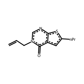 C=CCn1cnc2sc(CCC)cc2c1=O